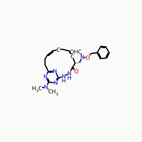 CN(C)c1nc2nc(n1)NNC(=O)[C@@H](CN(C=O)OCc1ccccc1)CCCC/C=C\CC2